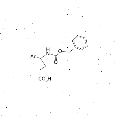 CC(=O)C(CCC(=O)O)NC(=O)OCc1ccccc1